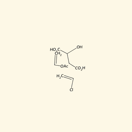 C=CCl.C=COC(C)=O.O=C(O)CC(O)C(=O)O